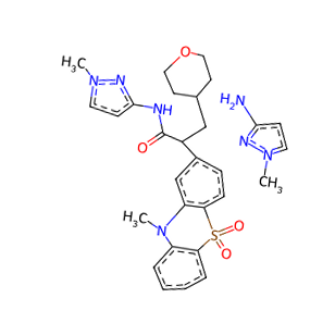 CN1c2ccccc2S(=O)(=O)c2ccc(C(CC3CCOCC3)C(=O)Nc3ccn(C)n3)cc21.Cn1ccc(N)n1